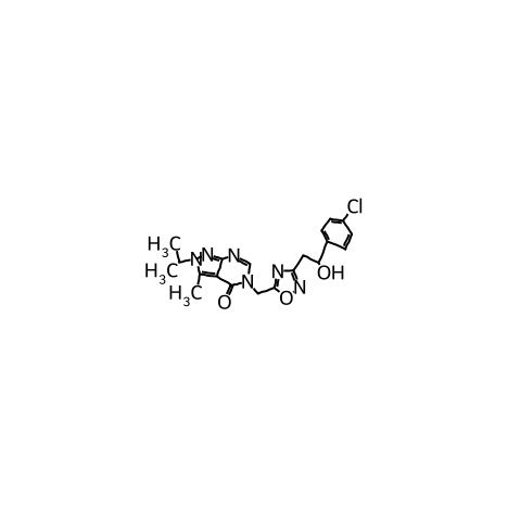 Cc1c2c(=O)n(Cc3nc(CC(O)c4ccc(Cl)cc4)no3)cnc2nn1C(C)C